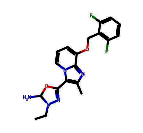 CCN1N=C(c2c(C)nc3c(OCc4c(F)cccc4F)cccn23)OC1N